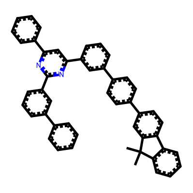 CC1(C)c2ccccc2-c2ccc(-c3ccc(-c4cccc(-c5cc(-c6ccccc6)nc(-c6cccc(-c7ccccc7)c6)n5)c4)cc3)cc21